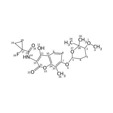 COC1CCC(Oc2ccc3c(O)c(NC(=O)C4(F)CC4)c(=O)oc3c2C)OC1(C)C